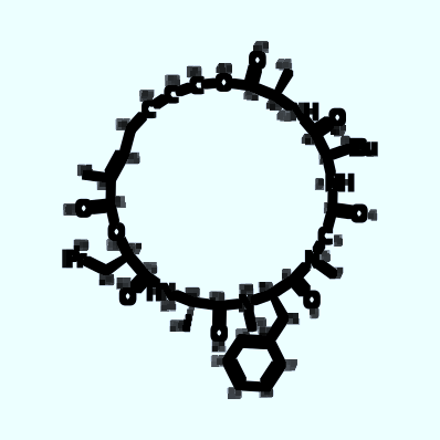 CCC(C)C1NC(=O)CN(C)C(=O)[C@@H](Cc2ccccc2)N(C)C(=O)[C@H](C)NC(=O)[C@@H](CC(C)C)OC(=O)/C(C)=C/CCCCOC(=O)[C@@H](C)NC1=O